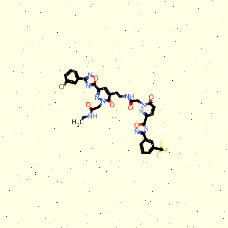 CCNC(=O)Cn1nc(-c2nc(-c3cccc(Cl)c3)no2)cc(CCNC(=O)Cn2nc(-c3nc(-c4cccc(C(F)(F)F)c4)no3)ccc2=O)c1=O